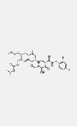 COCOP(CCN(C)CC(CN=O)n1cc(C(=O)NCc2ccc(F)cc2F)c(=O)c(O)c1C=O)OCOC(=O)OC(C)C